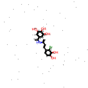 C=C(/C=C/c1ccc(O)c(O)c1Br)NC(C)c1cc(O)c(O)c(O)c1